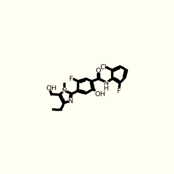 CCc1nc(-c2cc(O)c(C(=O)Nc3c(F)cccc3Cl)cc2F)n(C)c1CO